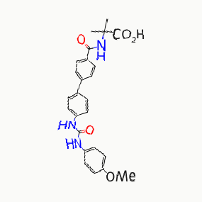 COc1ccc(NC(=O)Nc2ccc(-c3ccc(C(=O)NC(C)(C)C(=O)O)cc3)cc2)cc1